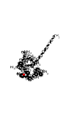 COCCOCCOCCOCCOCCOCCOCCOCCn1cc(COC(=O)N(C)Cc2cc(NC(=O)[C@H](CCCNC(N)=O)NC(=O)[C@@H](NC(=O)OC(C)(C)C)C(C)C)ccc2C[N+]2(C)CCN(CCOc3ccc(-c4c(-c5ccc(F)cc5)sc5ncnc(O[C@H](Cc6ccccc6OCc6ccnc(-c7ccccc7OC)n6)C(=O)O)c45)c(C)c3Cl)CC2)nn1